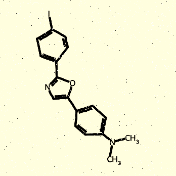 CN(C)c1ccc(-c2cnc(-c3ccc(I)cc3)o2)cc1